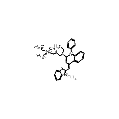 CCN(CCC[N+](C)(C)CC)C1=CC(=Cc2sc3ccccc3[n+]2C)c2ccccc2N1c1ccccc1